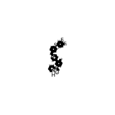 Cc1ccc(N(C=O)[C@H]2CCCCN2)cc1C1CCN(Cc2ccc(Sc3ccc(F)c(F)c3)cc2)CC1